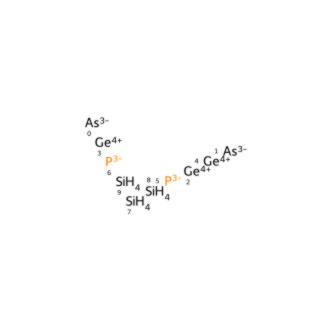 [As-3].[As-3].[Ge+4].[Ge+4].[Ge+4].[P-3].[P-3].[SiH4].[SiH4].[SiH4]